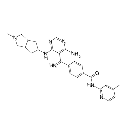 Cc1ccnc(NC(=O)c2ccc(C(=N)c3c(N)ncnc3NC3CC4CN(C)CC4C3)cc2)c1